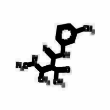 CNC(C)=C(C(C)=O)C(=S)Nc1cccc(C)c1